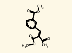 COC(=O)C(=Cc1cccc(C(=O)OC)c1)C(C)=O